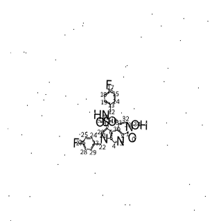 O=c1c2ncc3c(c(S(=O)(=O)NCc4ccc(F)cc4)cn3Cc3ccc(F)cc3)c2ccn1O